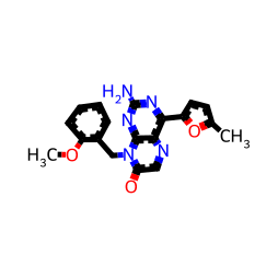 COc1ccccc1Cn1c(=O)cnc2c(-c3ccc(C)o3)nc(N)nc21